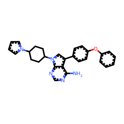 Nc1ncnc2c1c(-c1ccc(Oc3ccccc3)cc1)cn2C1CCC(n2cccc2)CC1